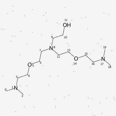 CN(C)CCOCCN(CCO)CCOCCN(C)C